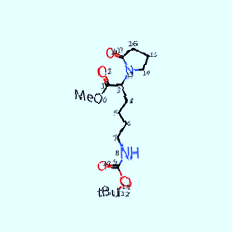 COC(=O)[C@H](CCCCNC(=O)OC(C)(C)C)N1CCCC1=O